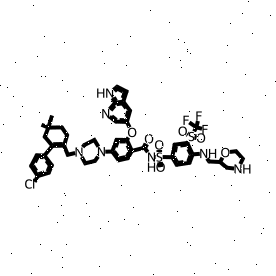 CC1(C)CCC(CN2CCN(c3ccc(C(=O)NS(=O)(=O)c4ccc(NCC5CNCCO5)c(S(=O)(=O)C(F)(F)F)c4)c(Oc4cnc5[nH]ccc5c4)c3)CC2)=C(c2ccc(Cl)cc2)C1